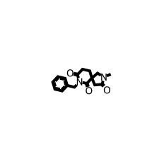 CN1CC2(CCC(=O)N(Cc3ccccc3)C2=O)CC1=O